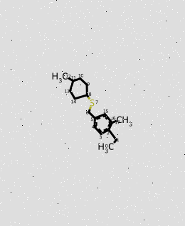 CCc1ccc(CSC2CCC(C)CC2)cc1C